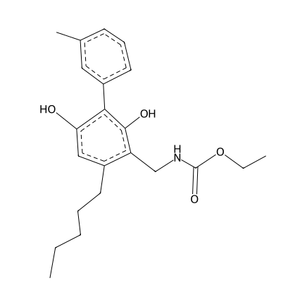 CCCCCc1cc(O)c(-c2cccc(C)c2)c(O)c1CNC(=O)OCC